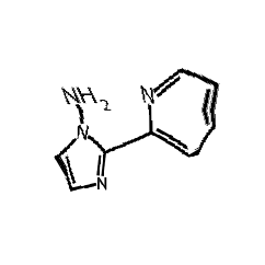 Nn1ccnc1-c1ccccn1